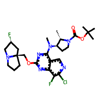 C[C@H]1[C@H](N(C)c2nc(OC[C@@]34CCCN3C[C@H](F)C4)nc3c(F)c(Cl)ncc23)CCN1C(=O)OC(C)(C)C